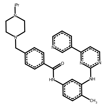 Cc1ccc(NC(=O)c2ccc(CN3CCN(C(C)C)CC3)cc2)cc1Nc1nccc(-c2cccnc2)n1